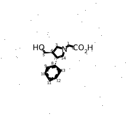 O=C(O)CN1C[C@H](CO)[C@@H](c2ccccc2)C1